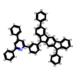 c1ccc(-c2cc(-c3ccccc3)nc(-c3cccc(C4c5ccc(-c6ccccc6)cc5-c5cc6c(cc54)C(c4ccccc4)c4ccccc4-6)c3)c2)cc1